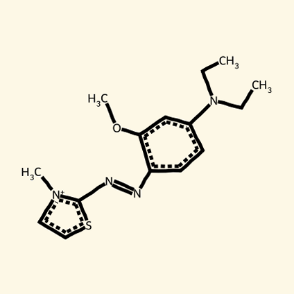 CCN(CC)c1ccc(/N=N/c2scc[n+]2C)c(OC)c1